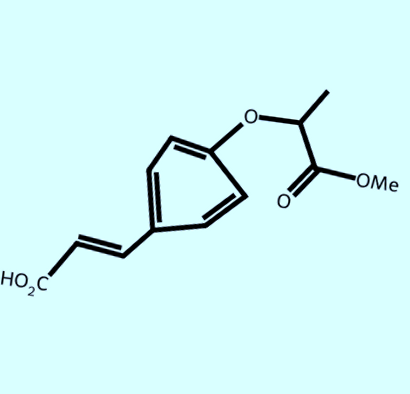 COC(=O)C(C)Oc1ccc(C=CC(=O)O)cc1